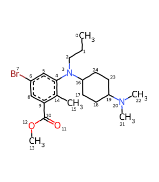 CCCN(c1cc(Br)cc(C(=O)OC)c1C)C1CCC(N(C)C)CC1